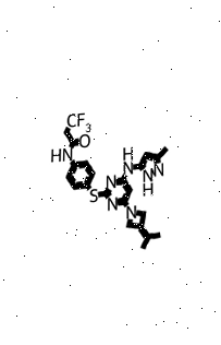 CC(C)=C1CN(c2cc(Nc3cc(C)n[nH]3)nc(Sc3ccc(NC(=O)CC(F)(F)F)cc3)n2)C1